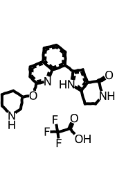 O=C(O)C(F)(F)F.O=C1NCCc2[nH]c(-c3cccc4ccc(OC5CCCNC5)nc34)cc21